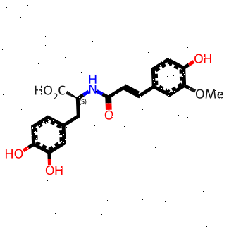 COc1cc(C=CC(=O)N[C@@H](Cc2ccc(O)c(O)c2)C(=O)O)ccc1O